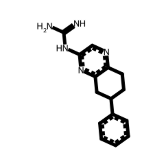 N=C(N)Nc1cnc2c(n1)CC(c1ccccc1)CC2